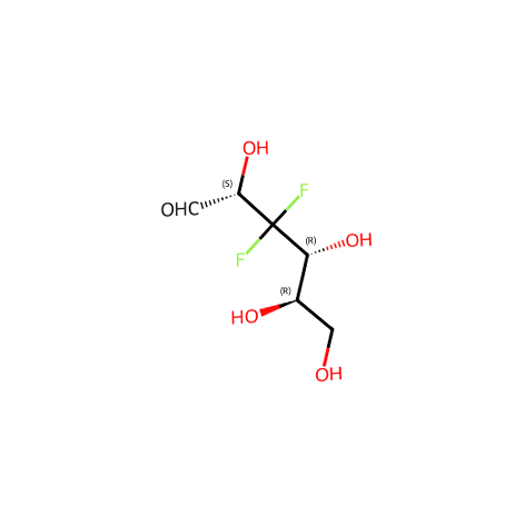 O=C[C@H](O)C(F)(F)[C@H](O)[C@H](O)CO